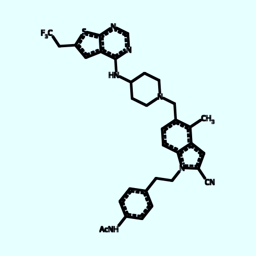 CC(=O)Nc1ccc(CCn2c(C#N)cc3c(C)c(CN4CCC(Nc5ncnc6sc(CC(F)(F)F)cc56)CC4)ccc32)cc1